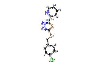 Brc1ccc(CSc2nnc(-c3ccccn3)s2)cc1